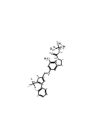 Cc1cc(OCc2cc(-c3ccccc3)c(C(F)(F)F)s2)cc2c1N(C(=O)OC(C)(C)C)CC2